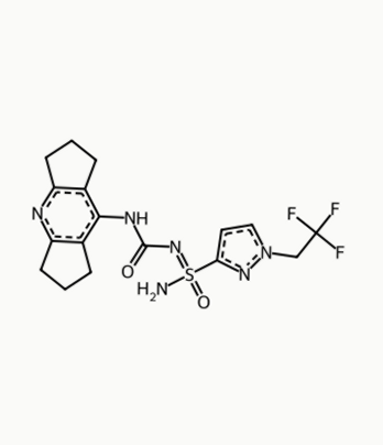 NS(=O)(=NC(=O)Nc1c2c(nc3c1CCC3)CCC2)c1ccn(CC(F)(F)F)n1